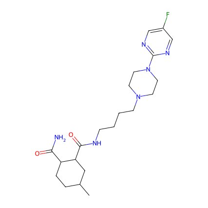 CC1CCC(C(N)=O)C(C(=O)NCCCCN2CCN(c3ncc(F)cn3)CC2)C1